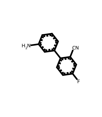 N#Cc1cc(F)ccc1-c1cccc(N)c1